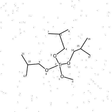 C[O][Ti]([O]CC(C)C)([O]CC(C)C)[O]CC(C)C